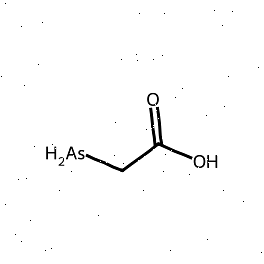 O=C(O)C[AsH2]